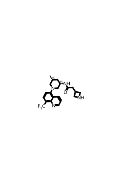 C[C@H]1C[C@@H](NC(=O)CC2CNC2)CN(c2ccc(C(F)(F)F)c3ncc#cc23)C1